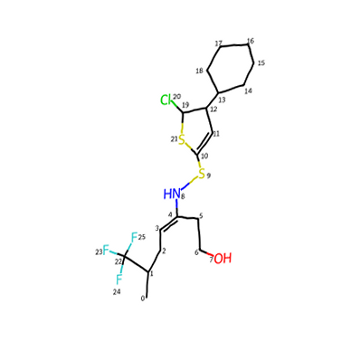 CC(C/C=C(\CCO)NSC1=CC(C2CCCCC2)C(Cl)S1)C(F)(F)F